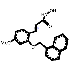 COc1ccc(/C=C/C(=O)NO)c(OCc2cccc3ccccc23)c1